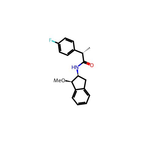 CO[C@@H]1c2ccccc2C[C@@H]1NC(=O)[C@@H](C)c1ccc(F)cc1